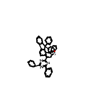 c1ccc(-c2nc(-c3ccccc3)nc(-c3cc4sc5ccccc5c4c4c5c(ccc34)-c3ccccc3C5(c3ccccc3)c3ccccc3)n2)cc1